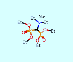 CCOP(=O)(OCC)C(N(CC)CC)P(=O)(OCC)OCC.[Na]